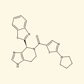 O=C(c1cnc(N2CCCC2)s1)N1CCc2[nH]cnc2[C@H]1c1nc2ccccc2s1